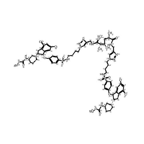 C[C@H]([C@H](C)[C@@H](C)C(=O)NCc1cn(CCCCNS(=O)(=O)c2ccc(O[C@H]3c4cc(Cl)cc(Cl)c4C[C@@H]3N3CCC[C@@H](NC(=O)OC(C)(C)C)C3)cc2)nn1)[C@H](C)C(=O)NCc1cn(CCCCNS(=O)(=O)c2ccc(O[C@H]3c4cc(Cl)cc(Cl)c4C[C@@H]3N3CCC[C@@H](NC(=O)OC(C)(C)C)C3)cc2)nn1